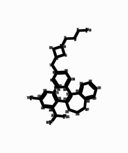 FCCCN1CC(Cc2ccc(C3=C(c4c(F)cc(F)cc4C(F)F)CCCc4ccccc43)cc2)C1